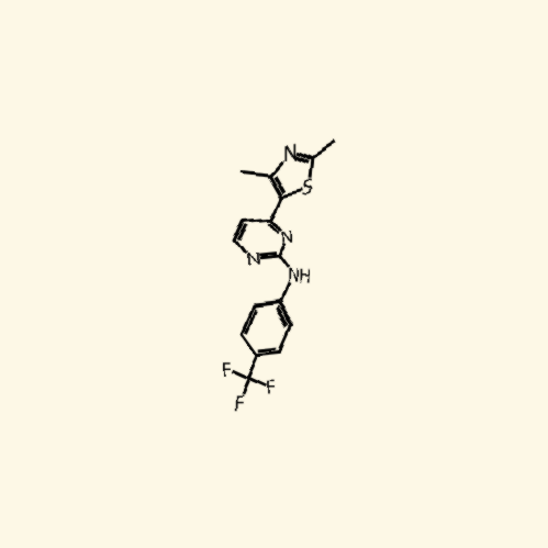 Cc1nc(C)c(-c2ccnc(Nc3ccc(C(F)(F)F)cc3)n2)s1